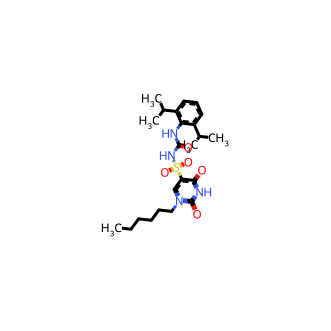 CCCCCCn1cc(S(=O)(=O)NC(=O)Nc2c(C(C)C)cccc2C(C)C)c(=O)[nH]c1=O